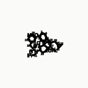 COc1ccc2c3c1OC1C(N(CC(C)C)S(=O)(=O)Cc4ccccc4)CC[C@@]4(OC(C)=O)[C@@H](C2)N(CC2CC2)CC[C@]314